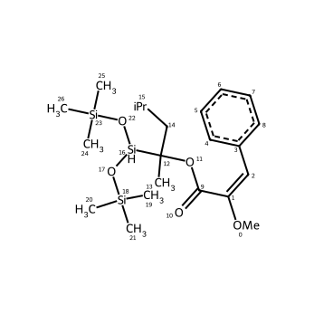 COC(=Cc1ccccc1)C(=O)OC(C)(CC(C)C)[SiH](O[Si](C)(C)C)O[Si](C)(C)C